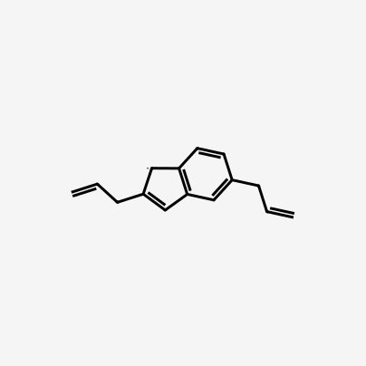 C=CCC1=Cc2cc(CC=C)ccc2[CH]1